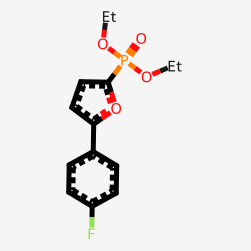 CCOP(=O)(OCC)c1ccc(-c2ccc(F)cc2)o1